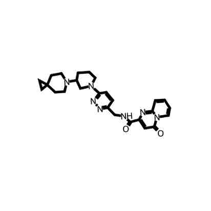 O=C(NCc1ccc(N2CCCC(N3CCC4(CC3)CC4)C2)nn1)c1cc(=O)n2ccccc2n1